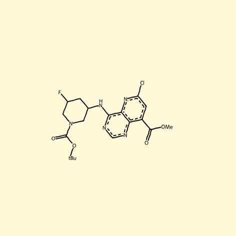 COC(=O)c1cc(Cl)nc2c(NC3CC(F)CN(C(=O)OC(C)(C)C)C3)ncnc12